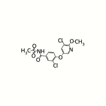 COc1ncc(Oc2ccc(C(=O)NS(C)(=O)=O)cc2Cl)cc1Cl